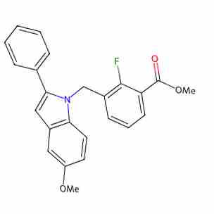 COC(=O)c1cccc(Cn2c(-c3ccccc3)cc3cc(OC)ccc32)c1F